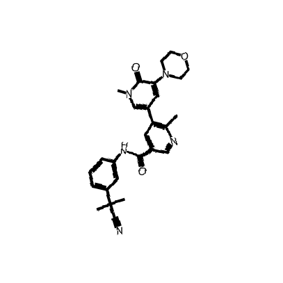 Cc1ncc(C(=O)Nc2cccc(C(C)(C)C#N)c2)cc1-c1cc(N2CCOCC2)c(=O)n(C)c1